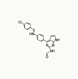 O=CNc1nc(-c2ccc(NSc3ccc(Cl)cc3)cc2)c2cc[nH]c2n1